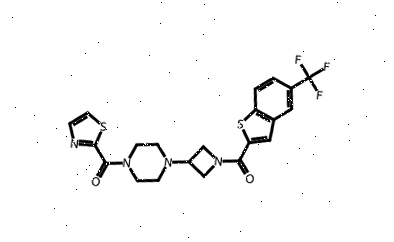 O=C(c1cc2cc(C(F)(F)F)ccc2s1)N1CC(N2CCN(C(=O)c3nccs3)CC2)C1